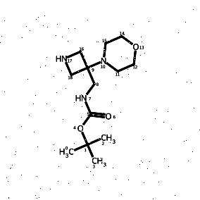 CC(C)(C)OC(=O)NCC1(N2CCOCC2)CNC1